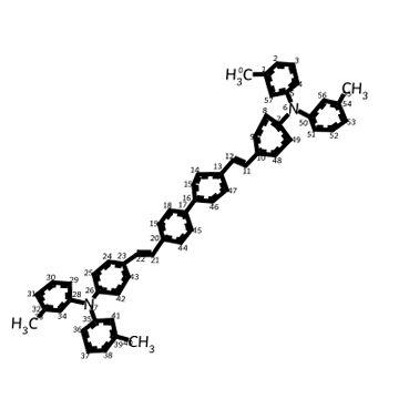 Cc1cccc(N(c2ccc(C=Cc3ccc(-c4ccc(C=Cc5ccc(N(c6cccc(C)c6)c6cccc(C)c6)cc5)cc4)cc3)cc2)c2cccc(C)c2)c1